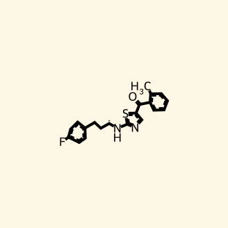 Cc1ccccc1C(=O)c1cnc(N[CH]CCc2ccc(F)cc2)s1